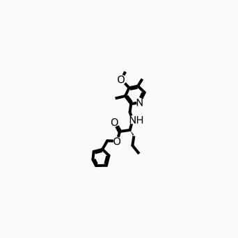 CCC[C@@H](NCc1ncc(C)c(OC)c1C)C(=O)OCc1ccccc1